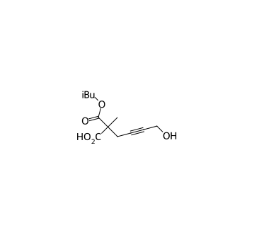 CCC(C)OC(=O)C(C)(CC#CCO)C(=O)O